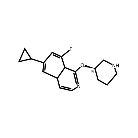 FC1=CC(C2CC2)=CC2C=CN=C(O[C@@H]3CCCNC3)C12